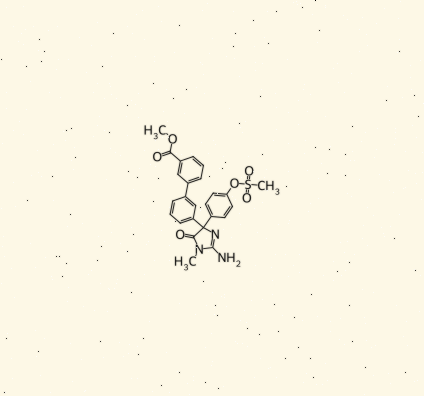 COC(=O)c1cccc(-c2cccc(C3(c4ccc(OS(C)(=O)=O)cc4)N=C(N)N(C)C3=O)c2)c1